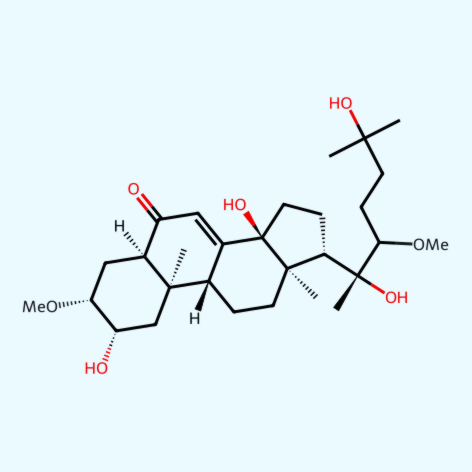 COC(CCC(C)(C)O)[C@](C)(O)[C@H]1CC[C@@]2(O)C3=CC(=O)[C@@H]4C[C@@H](OC)[C@@H](O)C[C@]4(C)[C@H]3CC[C@]12C